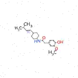 COc1cc(CC(=O)NC2CCC(/C=C/C(C)C)CC2)ccc1O